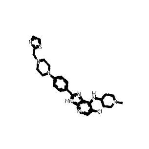 CN1CCC(Nc2c(Cl)cnc3[nH]c(-c4ccc(N5CCN(Cc6nccs6)CC5)cc4)nc23)CC1